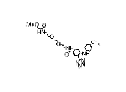 COCC(=O)NCCOCCOCCNC(=O)c1ccc(Nc2ccc(C(F)(F)F)cc2)c(-c2nnn(C)n2)c1